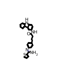 N/C(=N\c1ccc(CCCC(=O)Nc2ccc3[nH]c4ccccc4c3c2)cc1)c1cccs1